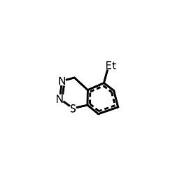 CCc1cccc2c1CN=NS2